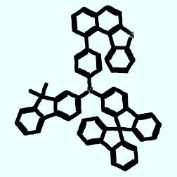 CC1(C)c2ccccc2-c2ccc(N(c3ccc(-c4cccc5ccc6sc7ccccc7c6c45)cc3)c3ccc4c(c3)C3(c5ccccc5-c5ccccc53)c3ccccc3-4)cc21